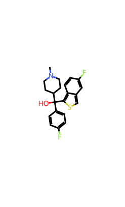 CN1CCC(C(O)(c2ccc(F)cc2)c2scc3cc(F)ccc23)CC1